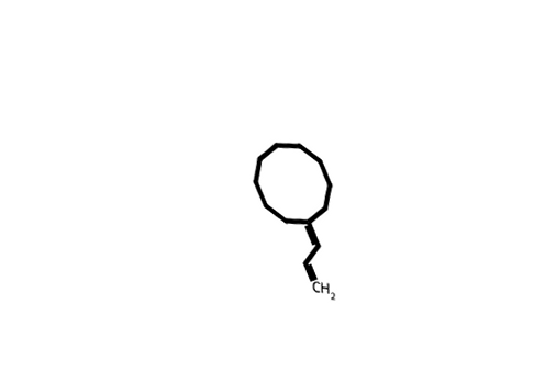 C=CC=C1CCCCCCCCC1